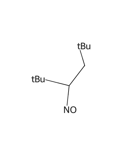 CC(C)(C)CC(N=O)C(C)(C)C